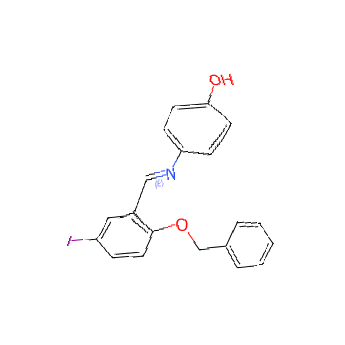 Oc1ccc(/N=C/c2cc(I)ccc2OCc2ccccc2)cc1